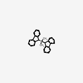 [CH3][Ti]([CH3])([CH]1c2ccccc2-c2ccccc21)[CH]1c2ccccc2-c2ccccc21